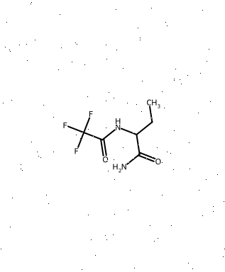 CCC(NC(=O)C(F)(F)F)C(N)=O